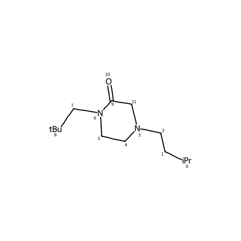 CC(C)CCN1CCN(CC(C)(C)C)C(=O)C1